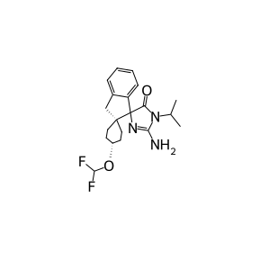 CC(C)N1C(=O)C2(N=C1N)c1ccccc1C[C@]21CC[C@@H](OC(F)F)CC1